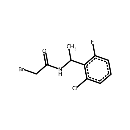 CC(NC(=O)CBr)c1c(F)cccc1Cl